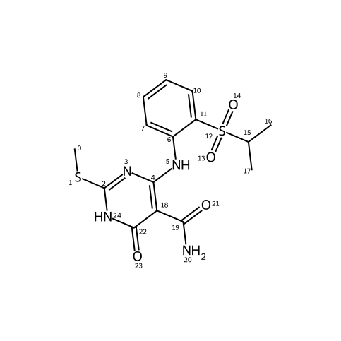 CSc1nc(Nc2ccccc2S(=O)(=O)C(C)C)c(C(N)=O)c(=O)[nH]1